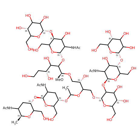 CO[C@H](OC[C@H](O)C(CO[C@H]1OC(CO)[C@@H](O)C(O)C1O[C@@H]1OC(CO)[C@@H](O[C@@H]2OC(CO)[C@H](O)C(O)C2O)C(O)C1NC(C)=O)OC(C)O[C@H]1CC(NC(C)=O)[C@H](O[C@H]2CC(NC(C)=O)[C@H](C)OC2CO)OC1CO)C(O[C@@H]1OC(CO)[C@@H](O[C@@H]2OC(CO)[C@H](O)C(O)C2O)C(O)C1NC(C)=O)C(O)[C@H](O)CCO